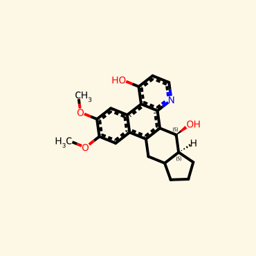 COc1cc2c3c(c4nccc(O)c4c2cc1OC)[C@@H](O)[C@H]1CCCC1C3